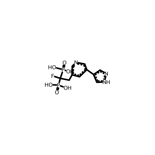 O=P(O)(O)C(F)(Cc1cncc(-c2cn[nH]c2)c1)P(=O)(O)O